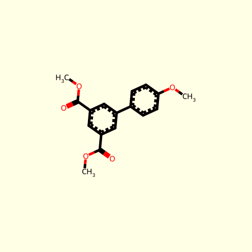 COC(=O)c1cc(C(=O)OC)cc(-c2ccc(OC)cc2)c1